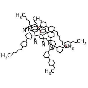 CCCCCCCC1CCC(C2CCCC(C(CCCC#N)CC(C#N)C(C#N)(CCC(C#N)(CCC(C#N)(CCC(C#N)(CCC3CCCC(C4CCC(CC)CC4)C3)C3CCCC(C4CCC(CCC)CC4)C3)C3CCCC(C4CCC(CCCC)CC4)C3)C3CCCC(C4CCC(CCCCC)CC4)C3)C3CCCC(C4CCC(CCCCCC)CC4)C3)C2)CC1